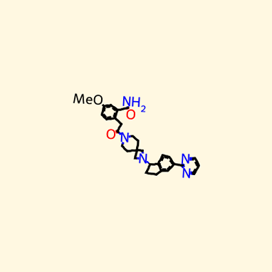 COc1ccc(CC(=O)N2CCC3(CC2)CN([C@@H]2CCc4cc(-c5ncccn5)ccc42)C3)c(C(N)=O)c1